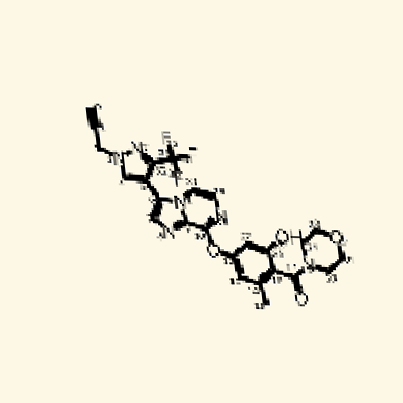 C#CCn1cc(-c2cnc3c(Oc4cc(C)c(C(=O)N5CCOCC5)c(O)c4)nccn23)c(C(F)(F)F)n1